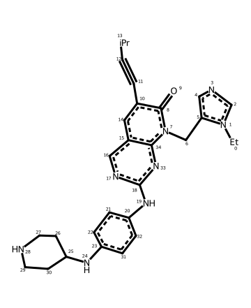 CCn1cncc1Cn1c(=O)c(C#CC(C)C)cc2cnc(Nc3ccc(NC4CCNCC4)cc3)nc21